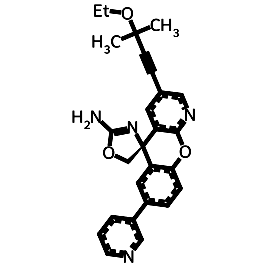 CCOC(C)(C)C#Cc1cnc2c(c1)[C@]1(COC(N)=N1)c1cc(-c3cccnc3)ccc1O2